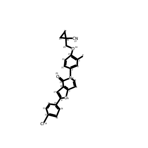 Cc1cc(-n2ccc3oc(-c4ccc(Cl)cc4)cc3c2=O)ccc1OCC1(C#N)CC1